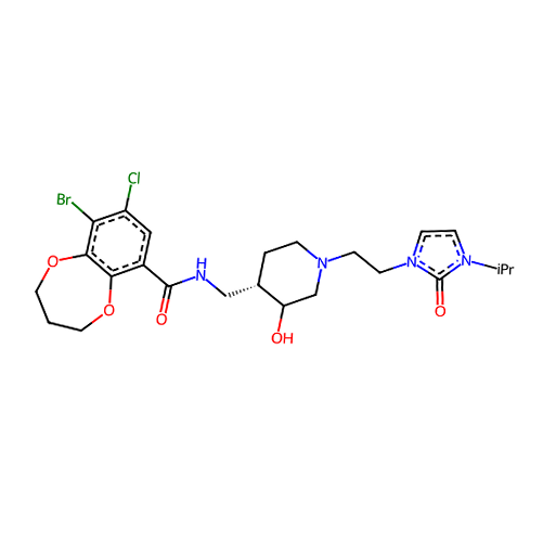 CC(C)n1ccn(CCN2CC[C@@H](CNC(=O)c3cc(Cl)c(Br)c4c3OCCCO4)C(O)C2)c1=O